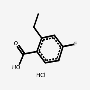 CCc1cc(F)ccc1C(=O)O.Cl